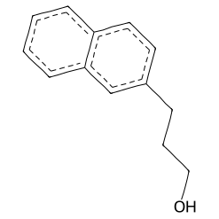 OCCCc1ccc2ccccc2c1